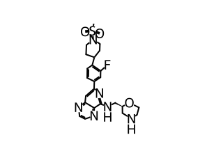 CS(=O)(=O)N1CCC(c2ccc(-c3cc4nccnc4c(NC[C@@H]4CNCCO4)n3)cc2F)CC1